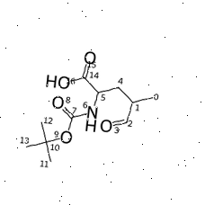 CC(C=O)CC(NC(=O)OC(C)(C)C)C(=O)O